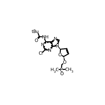 CC(C)(C)C(=O)Nc1nc(Cl)nc2c1ncn2[C@H]1C=C[C@@H](OCP(C)(C)=O)O1